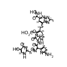 Cc1nc2nc(C(=O)NO)cc(SCC3=C(OC(=O)O)N4C(=O)[C@@H](NC(=O)/C(=N\OCc5nc(=O)c(O)c[nH]5)c5csc(N)n5)[C@H]4SC3)n2n1